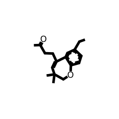 CCc1ccc2c(c1)C(CCC(C)=O)=CC(C)(C)CO2